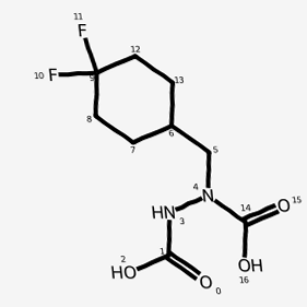 O=C(O)NN(CC1CCC(F)(F)CC1)C(=O)O